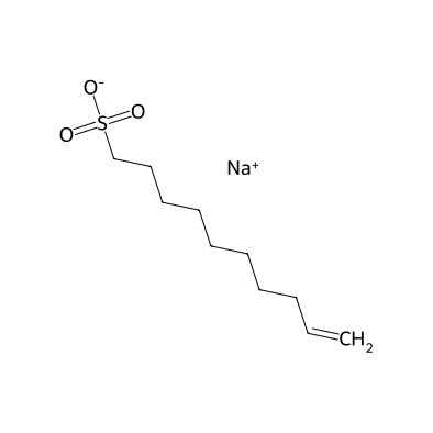 C=CCCCCCCCCS(=O)(=O)[O-].[Na+]